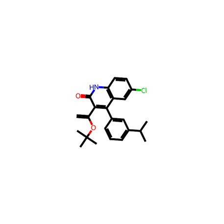 C=C(OC(C)(C)C)c1c(-c2cccc(C(C)C)c2)c2cc(Cl)ccc2[nH]c1=O